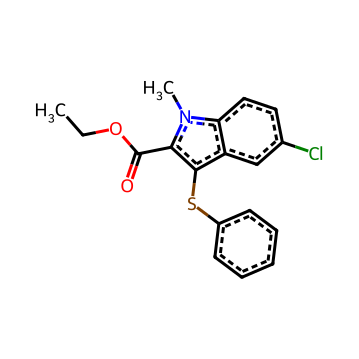 CCOC(=O)c1c(Sc2ccccc2)c2cc(Cl)ccc2n1C